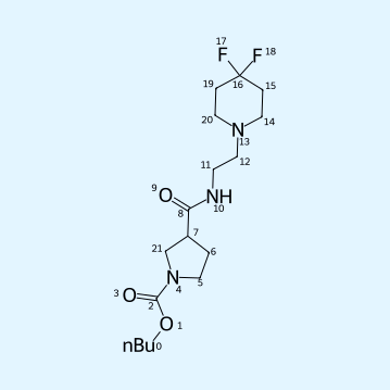 CCCCOC(=O)N1CCC(C(=O)NCCN2CCC(F)(F)CC2)C1